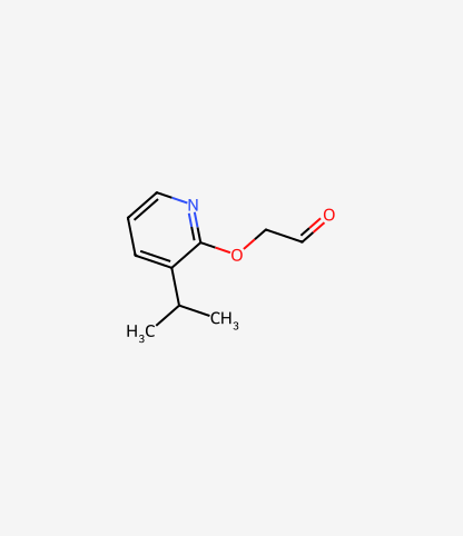 CC(C)c1cccnc1OCC=O